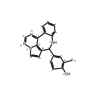 Oc1ccc(C2Nc3ccccc3-c3ncnn4ccc2c34)cc1F